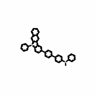 CN(c1ccccc1)c1ccc(-c2ccc(-c3ccc4c(c3)c3cc5ccccc5cc3n4-c3ccccc3)cc2)cc1